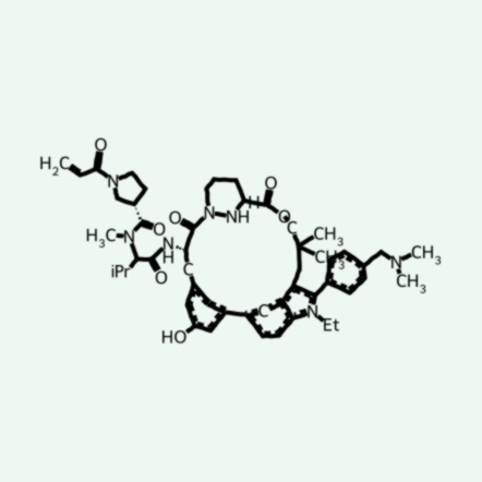 C=CC(=O)N1CC[C@H](C(=O)N(C)C(C(=O)N[C@H]2Cc3cc(O)cc(c3)-c3ccc4c(c3)c(c(-c3ccc(CN(C)C)cc3)n4CC)CC(C)(C)COC(=O)[C@@H]3CCCN(N3)C2=O)C(C)C)C1